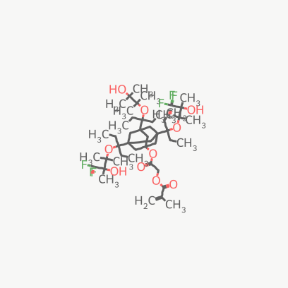 C=C(C)C(=O)OCC(=O)OC12CC3(C(CC)(CC)OC(C)(C)C(C)(C)O)CC(C(CC)(CC)OC(C)(C)C(C)(O)C(F)(F)F)(C1)CC(C(CC)(CC)OC(C)(C)C(C)(O)C(F)(F)F)(C2)C3